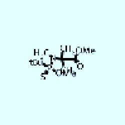 COC(=O)C(C)(C)N(C)P(=S)(OC)C(C)(C)C